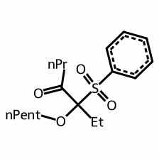 CCCCCOC(CC)(C(=O)CCC)S(=O)(=O)c1ccccc1